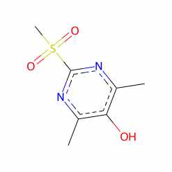 Cc1nc(S(C)(=O)=O)nc(C)c1O